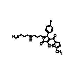 Cc1ccc(C(=O)C2=C(O)C(=O)N(CCCNCCCN)C2c2ccc(F)cc2)o1